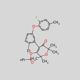 CCCC(=O)OC1=C(c2cc(Oc3ccc(C)cc3F)ccc2CC)C(=O)C(C)(C)OC1(C)C